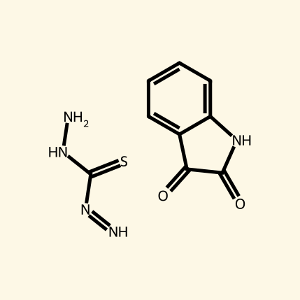 N=NC(=S)NN.O=C1Nc2ccccc2C1=O